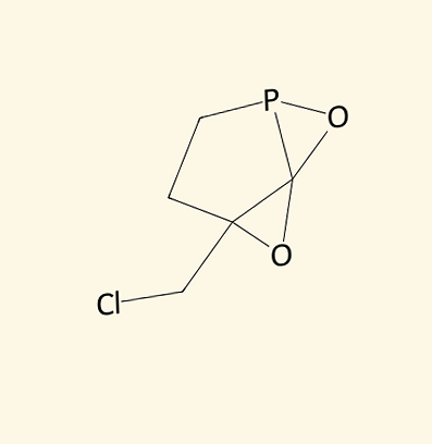 ClCC12CCP3OC31O2